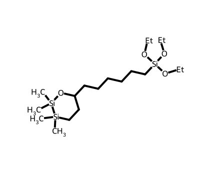 CCO[Si](CCCCCCC1CC[Si](C)(C)[Si](C)(C)O1)(OCC)OCC